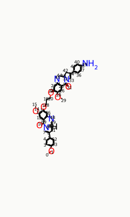 COc1ccc(C2=CN3C(=O)c4cc(OC)c(OCCCOc5cc6c(cc5OC)C(=O)N5C=C(c7ccc(N)cc7)CC5C=N6)cc4N=C[C@@H]3C2)cc1